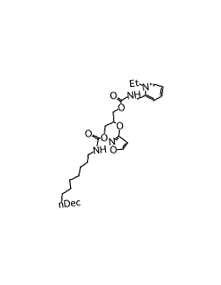 CCCCCCCCCCCCCCCCCNC(=O)OCC(COC(=O)NCc1cccc[n+]1CC)Oc1ccon1